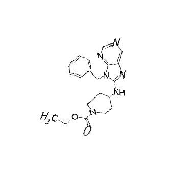 CCOC(=O)N1CCC(Nc2nc3cncnc3n2Cc2ccccc2)CC1